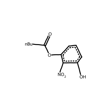 CCCCC(=O)Oc1cccc(O)c1[N+](=O)[O-]